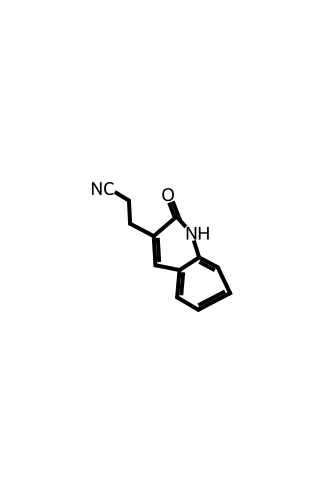 N#CCCc1cc2ccccc2[nH]c1=O